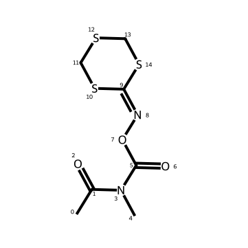 CC(=O)N(C)C(=O)ON=C1SCSCS1